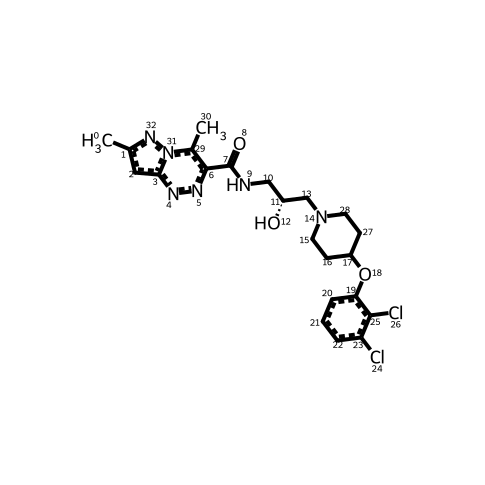 Cc1cc2nnc(C(=O)NC[C@@H](O)CN3CCC(Oc4cccc(Cl)c4Cl)CC3)c(C)n2n1